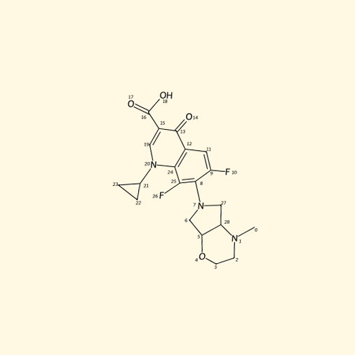 CN1CCOC2CN(c3c(F)cc4c(=O)c(C(=O)O)cn(C5CC5)c4c3F)CC21